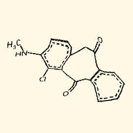 CNc1ccc2c(c1Cl)C(=O)c1ccccc1C2=O